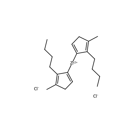 CCCCC1=C(C)CC=[C]1[Zr+2][C]1=CCC(C)=C1CCCC.[Cl-].[Cl-]